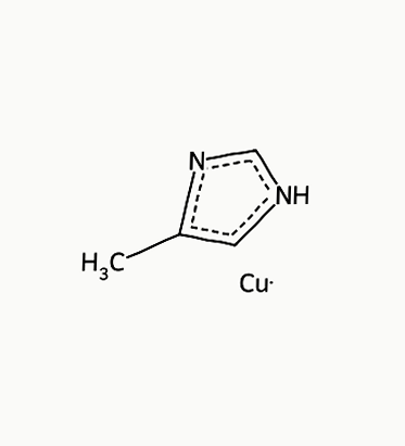 Cc1c[nH]cn1.[Cu]